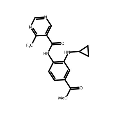 COC(=O)c1ccc(NC(=O)c2cncnc2C(F)(F)F)c(NC2CC2)c1